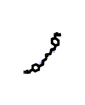 CCCCC1CCC(/C=C/COC/C=C/C2CCC(CCCC)CC2)CC1